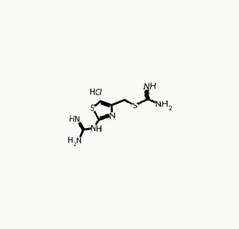 Cl.N=C(N)Nc1nc(CSC(=N)N)cs1